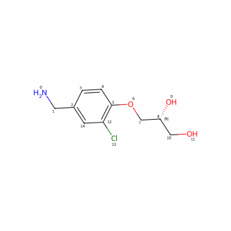 NCc1ccc(OC[C@H](O)CO)c(Cl)c1